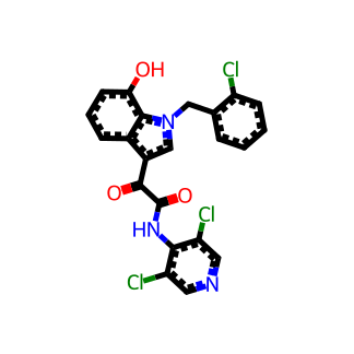 O=C(Nc1c(Cl)cncc1Cl)C(=O)c1cn(Cc2ccccc2Cl)c2c(O)cccc12